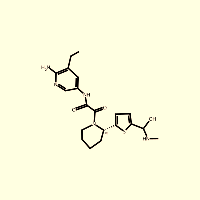 CCc1cc(NC(=O)C(=O)N2CCCC[C@H]2c2ccc(C(O)NC)s2)cnc1N